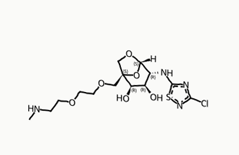 CNCCOCCOC[C@@]12CO[C@@H](O1)[C@H](Nc1nc(Cl)ns1)[C@@H](O)[C@H]2O